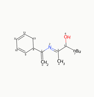 C=C(/N=C(\C)C(O)CCCC)C1C=CC=CC1